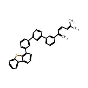 C=C(/C=C\C=C(C)C)c1cccc(-c2cccc(-c3cccc(-c4cccc5c4sc4ccccc45)c3)c2)c1